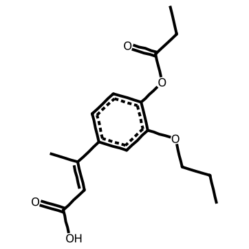 CCCOc1cc(C(C)=CC(=O)O)ccc1OC(=O)CC